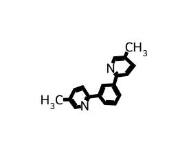 Cc1ccc(-c2cccc(-c3ccc(C)cn3)c2)nc1